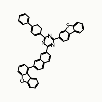 C1=C(c2ccccc2)CCC(c2nc(-c3ccc4ccc(-c5cccc6oc7ccccc7c56)cc4c3)nc(-c3ccc4c(c3)sc3ccccc34)n2)=C1